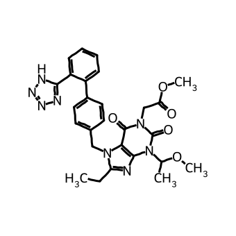 CCc1nc2c(c(=O)n(CC(=O)OC)c(=O)n2C(C)OC)n1Cc1ccc(-c2ccccc2-c2nnn[nH]2)cc1